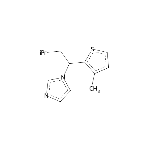 Cc1ccsc1C(CC(C)C)n1ccnc1